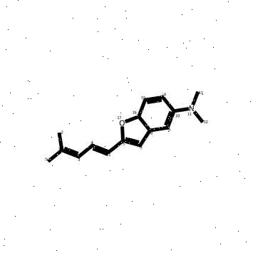 CC(C)=CC=CC1=CC2C=C(N(C)C)C=CC2O1